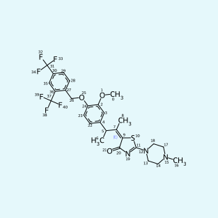 COc1cc(C(C)/C(C)=C2/SC(N3CCN(C)CC3)=NC2=O)ccc1OCc1ccc(C(F)(F)F)cc1C(F)(F)F